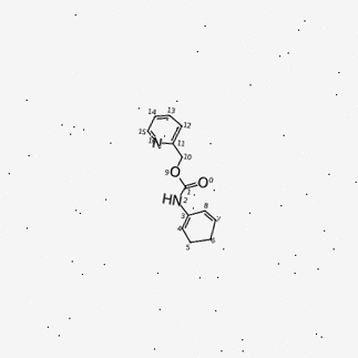 O=C(NC1=CCCC=C1)OCc1ccccn1